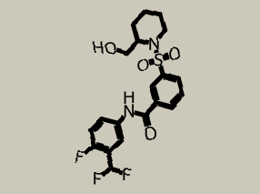 O=C(Nc1ccc(F)c(C(F)F)c1)c1cccc(S(=O)(=O)N2CCCCC2CO)c1